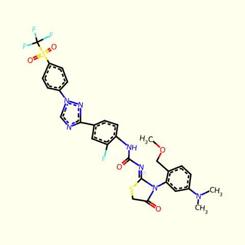 COCc1ccc(N(C)C)cc1N1C(=O)CS/C1=N\C(=O)Nc1ccc(-c2ncn(-c3ccc(S(=O)(=O)C(F)(F)F)cc3)n2)cc1F